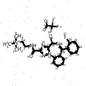 C[N+](C)(C)CCNC(=O)c1nc2n(n1)-c1ccccc1C(c1ccccc1F)=NC2Cl.O=C([O-])C(F)(F)F